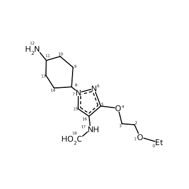 CCOCCOc1nn(C2CCC(N)CC2)cc1NC(=O)O